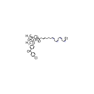 CC/C=C\C/C=C\C/C=C\C/C=C\CCCC=CCC(=O)N1CCC(N(C)C(=O)C(C)(C)Oc2ccc(C(=O)c3ccc(Cl)cc3)cc2)C1